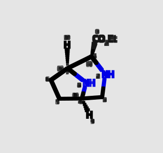 CCOC(=O)[C@H]1NC[C@H]2CC[C@@H]1N2